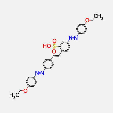 CCOc1ccc(/N=N/c2ccc(/C=C/c3ccc(/N=N/c4ccc(OCC)cc4)cc3S(=O)(=O)O)cc2)cc1